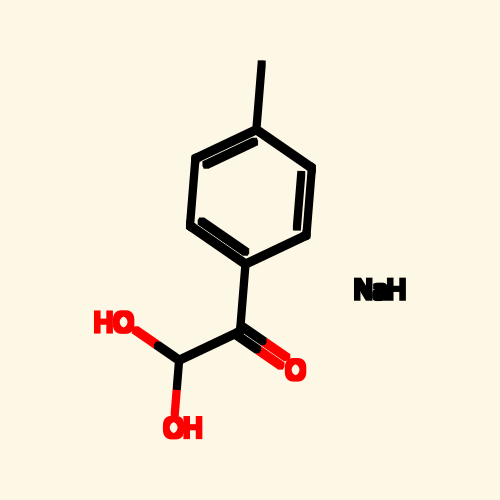 Cc1ccc(C(=O)C(O)O)cc1.[NaH]